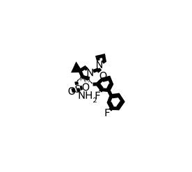 NS(=O)(=O)C[C@H]1[C@@H](Cc2cccc(-c3cccc(F)c3)c2F)N(C(=O)N2CCC2)CC12CC2